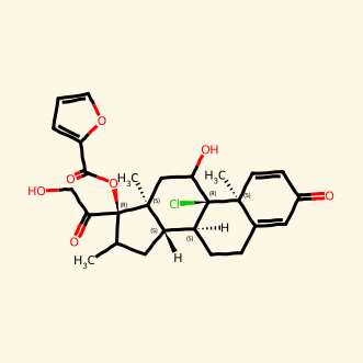 CC1C[C@H]2[C@@H]3CCC4=CC(=O)C=C[C@]4(C)[C@@]3(Cl)C(O)C[C@]2(C)[C@@]1(OC(=O)c1ccco1)C(=O)CO